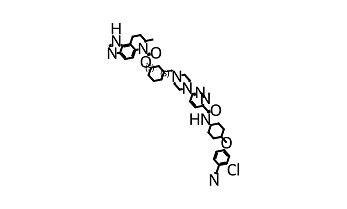 CC1CCc2c(ccc3nc[nH]c23)N1C(=O)O[C@H]1CCC[C@H](CN2CCN(c3ccc(C(=O)NC4CCC(Oc5ccc(C#N)c(Cl)c5)CC4)nn3)CC2)C1